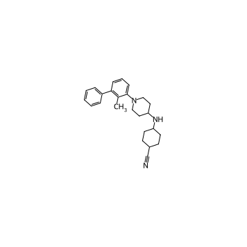 Cc1c(-c2ccccc2)cccc1N1CCC(NC2CCC(C#N)CC2)CC1